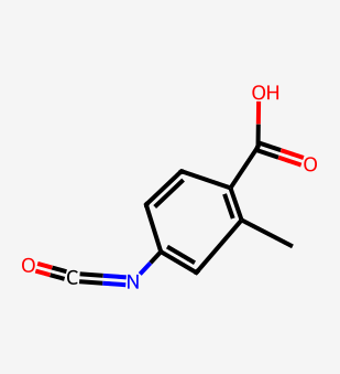 Cc1cc(N=C=O)ccc1C(=O)O